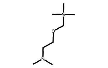 CN(C)CCOC[Si](C)(C)C